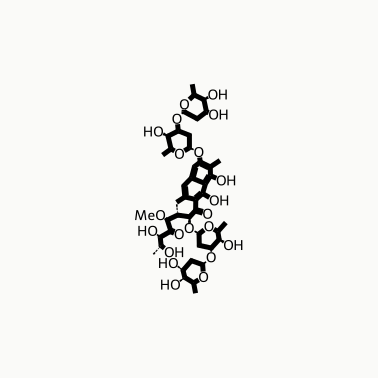 CO[C@H](C(=O)[C@@H](O)[C@@H](C)O)[C@@H]1Cc2cc3cc(O[C@H]4CC(O[C@H]5CC(O)[C@H](O)C(C)O5)[C@H](O)C(C)O4)c(C)c(O)c3c(O)c2C(=O)[C@H]1O[C@H]1C[C@@H](O[C@H]2C[C@@H](O)[C@@H](O)C(C)O2)[C@H](O)C(C)O1